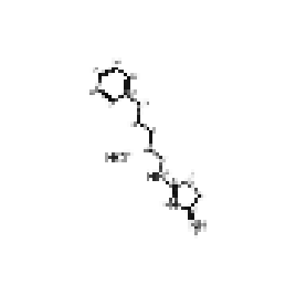 Cl.N=C1CSC(NCCCCCc2ccccc2)=N1